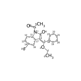 CCOC(=C1C(=O)N(C(C)=O)c2ccc(F)cc21)c1ccccc1